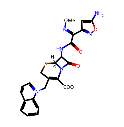 CON=C(C(=O)NC1C(=O)N2C(C(=O)[O-])=C(C[n+]3cccc4ccccc43)CS[C@@H]12)c1cc(N)on1